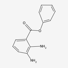 Nc1cccc(C(=O)Oc2ccccc2)c1N